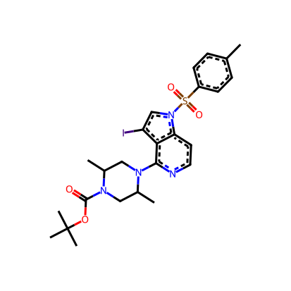 Cc1ccc(S(=O)(=O)n2cc(I)c3c(N4CC(C)N(C(=O)OC(C)(C)C)CC4C)nccc32)cc1